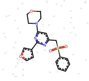 O=S(=O)(Cc1cc(N2CCOCC2)nc(-c2ccoc2)n1)c1ccccc1